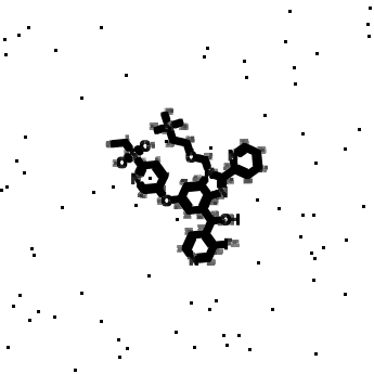 CCS(=O)(=O)c1ccc(Oc2cc(C(O)c3ccncc3F)c3nc(-c4ccccn4)n(COCC[Si](C)(C)C)c3c2)cn1